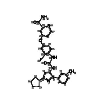 Cc1cccc(-n2nc(C3CCCC3)cc2NC(=O)Nc2ccc(Oc3ccnc(C(N)=O)c3)cc2F)c1